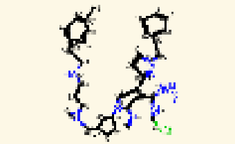 C=Nc1c(/C(N)=N\CCl)c(-c2ccn(Cc3ccccc3)n2)cn1C1CCC(CN(C)CCCNCCc2ccc(C)cc2)C1